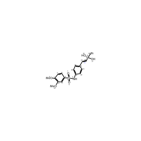 COc1ccc(S(=O)(=O)Nc2ccc(/C=C/[Si](O)(O)C(C)C)cc2)cc1OC